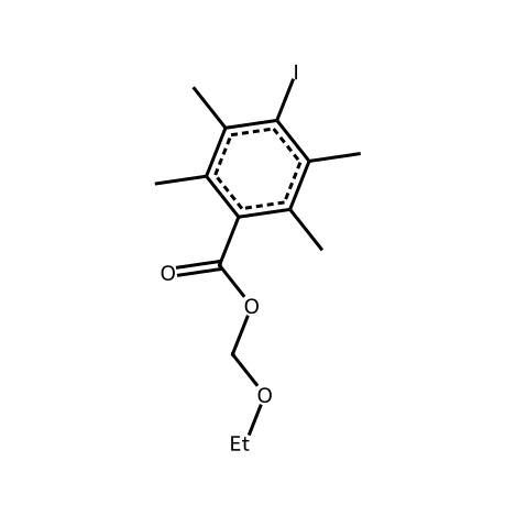 CCOCOC(=O)c1c(C)c(C)c(I)c(C)c1C